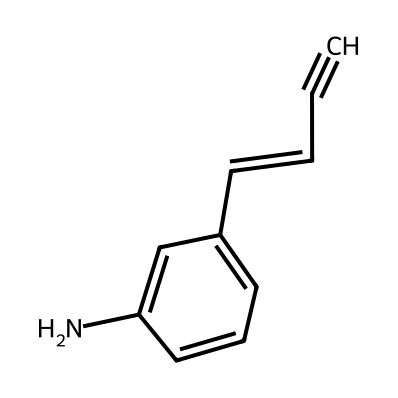 C#CC=Cc1cccc(N)c1